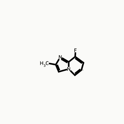 Cc1cn2c[c]cc(F)c2n1